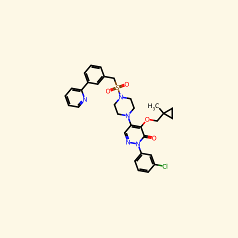 CC1(COc2c(N3CCN(S(=O)(=O)Cc4cccc(-c5ccccn5)c4)CC3)cnn(-c3cccc(Cl)c3)c2=O)CC1